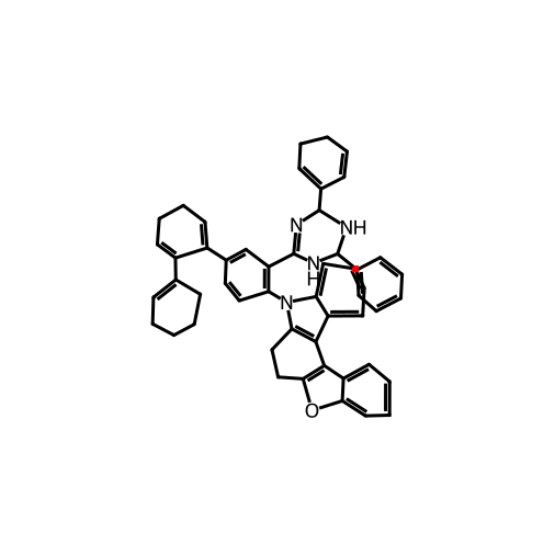 C1=CC(C2N=C(c3cc(C4=CCCC=C4C4=CCCCC4)ccc3-n3c4c(c5ccccc53)-c3c(oc5ccccc35)CC4)NC(c3ccccc3)N2)=CCC1